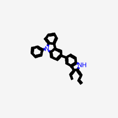 C=C/C=c1/[nH]c2ccc(-c3ccc4c(c3)c3ccccc3n4-c3ccccc3)cc2/c1=C/C